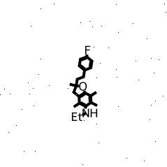 CCNc1c(C)c(C)c2c(c1C)CC(C)(CCc1ccc(F)cc1)O2